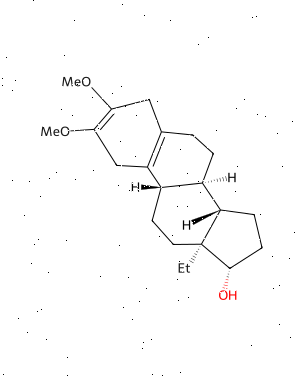 CC[C@]12CC[C@@H]3C4=C(CC[C@H]3[C@@H]1CC[C@@H]2O)CC(OC)=C(OC)C4